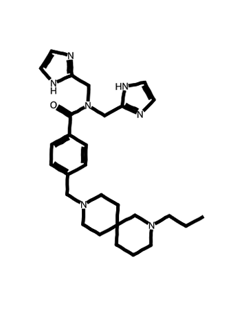 CCCN1CCCC2(CCN(Cc3ccc(C(=O)N(Cc4ncc[nH]4)Cc4ncc[nH]4)cc3)CC2)C1